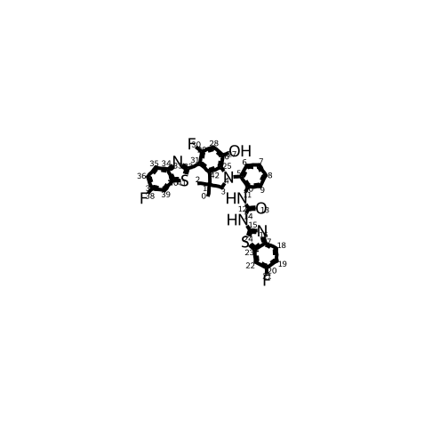 CC1(C)CN(c2ccccc2NC(=O)Nc2nc3ccc(F)cc3s2)c2c(O)cc(F)c(-c3nc4ccc(F)cc4s3)c21